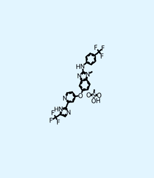 CS(=O)(=O)O.Cn1c(Nc2ccc(C(F)(F)F)cc2)nc2cc(Oc3ccnc(-c4ncc(C(F)(F)F)[nH]4)c3)ccc21